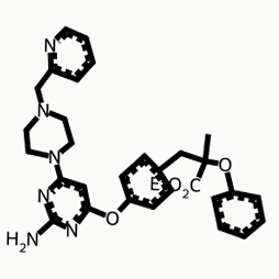 CCOC(=O)C(C)(Cc1ccc(Oc2cc(N3CCN(Cc4ccccn4)CC3)nc(N)n2)cc1)Oc1ccccc1